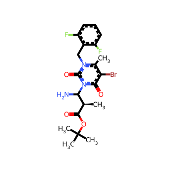 Cc1c(Br)c(=O)n(C(N)[C@@H](C)C(=O)OC(C)(C)C)c(=O)n1Cc1c(F)cccc1F